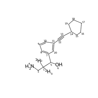 [2H]C([2H])(CN)C(O)c1cccc(C#CC2CCCCC2)c1